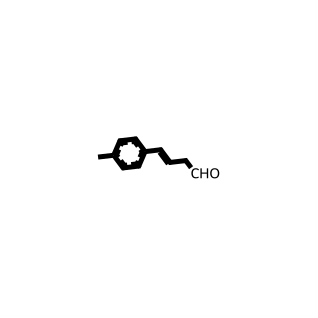 Cc1ccc(C=CCC=O)cc1